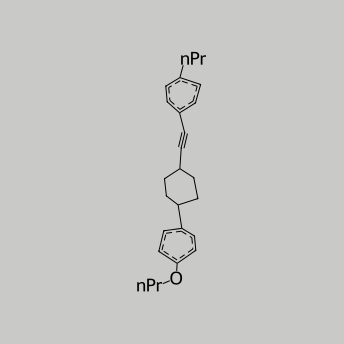 CCCOc1ccc(C2CCC(C#Cc3ccc(CCC)cc3)CC2)cc1